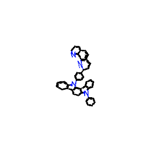 c1ccc(-n2c3ccccc3c3c2ccc2c4ccccc4n(-c4ccc(-c5ccc6ccc7cccnc7c6n5)cc4)c23)cc1